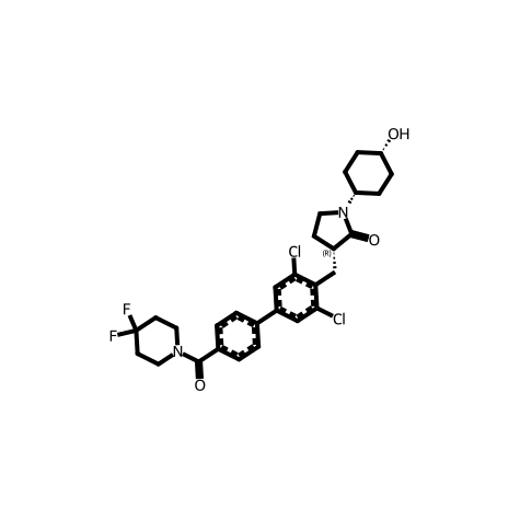 O=C(c1ccc(-c2cc(Cl)c(C[C@@H]3CCN([C@H]4CC[C@@H](O)CC4)C3=O)c(Cl)c2)cc1)N1CCC(F)(F)CC1